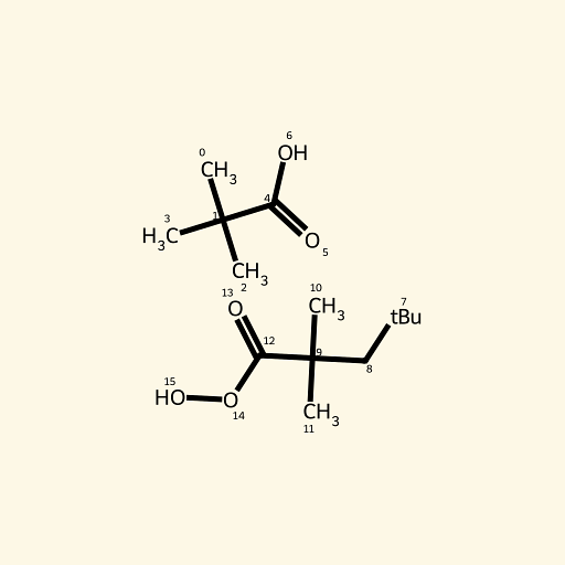 CC(C)(C)C(=O)O.CC(C)(C)CC(C)(C)C(=O)OO